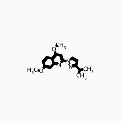 COc1ccc2c(OC)cc(-n3ccc(C(C)C)n3)nc2c1